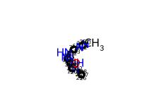 CN1CCN(c2ccc(Nc3ncc4c(n3)NC3(CCCN(Cc5ccccc5)C3=O)C4)cc2)CC1